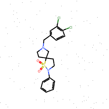 O=S1(=O)N(c2ccccc2)CCC12CCN(Cc1ccc(Cl)c(Cl)c1)C2